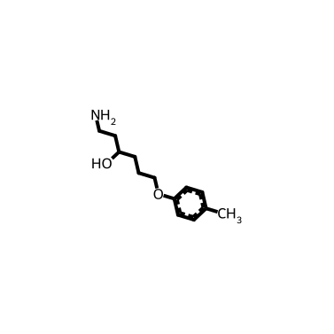 Cc1ccc(OCCCC(O)CCN)cc1